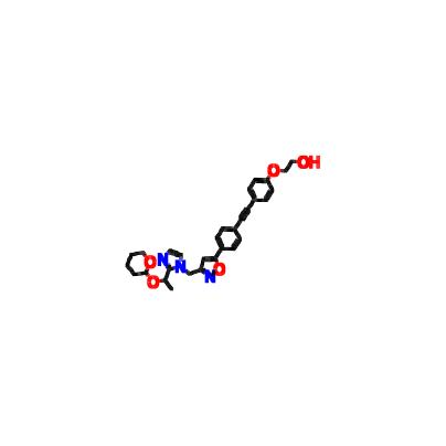 CC(OC1CCCCO1)c1nccn1Cc1cc(-c2ccc(C#Cc3ccc(OCCO)cc3)cc2)on1